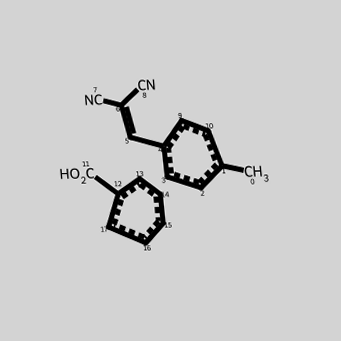 Cc1ccc(C=C(C#N)C#N)cc1.O=C(O)c1ccccc1